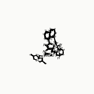 C=C1CN2CC(=C)CC2(COc2nc(N3C[C@H]4CC[C@@H](C3)N4C(=O)OC(C)(C)C)c3cnc(-c4cccc5cccc(C#C[Si](C(C)C)(C(C)C)C(C)C)c45)c(F)c3n2)C1